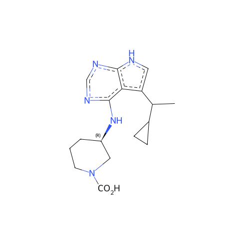 CC(c1c[nH]c2ncnc(N[C@@H]3CCCN(C(=O)O)C3)c12)C1CC1